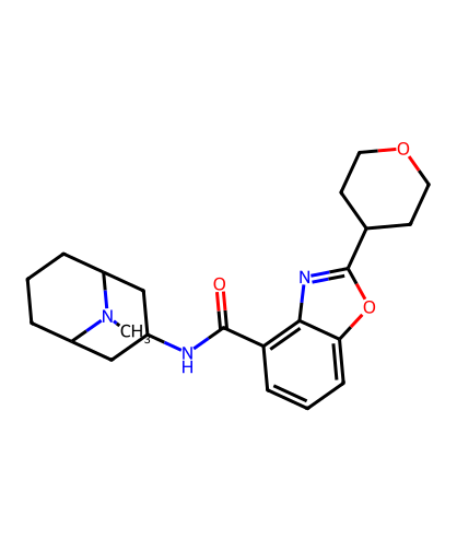 CN1C2CCCC1CC(NC(=O)c1cccc3oc(C4CCOCC4)nc13)C2